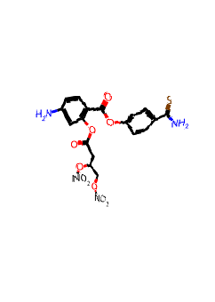 NC(=S)c1ccc(OC(=O)c2ccc(N)cc2OC(=O)CC(CO[N+](=O)[O-])O[N+](=O)[O-])cc1